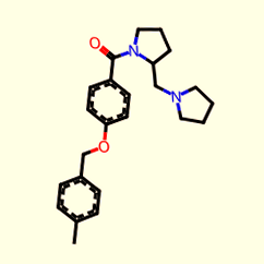 Cc1ccc(COc2ccc(C(=O)N3CCCC3CN3CCCC3)cc2)cc1